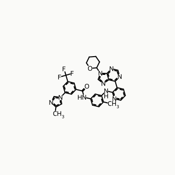 Cc1cn(-c2cc(C(=O)Nc3ccc(C)c(Nc4ncccc4-c4ncnc5c4ncn5C4CCCCO4)c3)cc(C(F)(F)F)c2)cn1